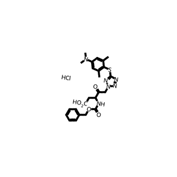 Cc1cc(N(C)C)cc(C)c1Sc1nnn(CC(=O)C(CC(=O)O)NC(=O)OCc2ccccc2)n1.Cl